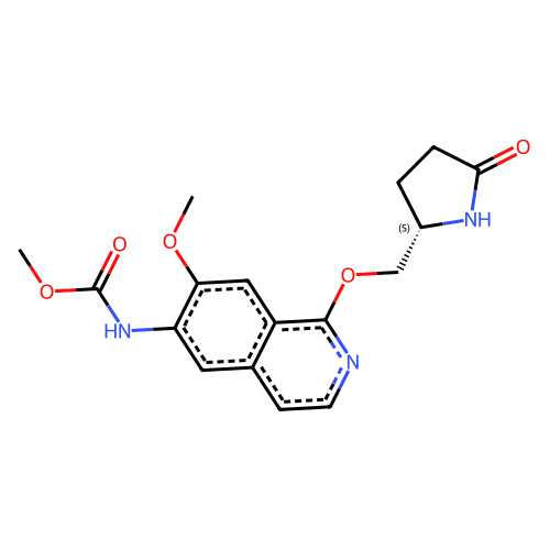 COC(=O)Nc1cc2ccnc(OC[C@@H]3CCC(=O)N3)c2cc1OC